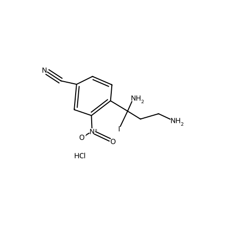 Cl.N#Cc1ccc(C(N)(I)CCN)c([N+](=O)[O-])c1